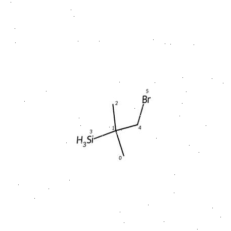 CC(C)([SiH3])CBr